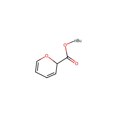 CCCCOC(=O)C1C=CC=CO1